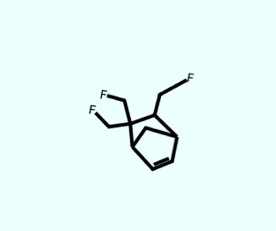 FCC1C2C=CC(C2)C1(CF)CF